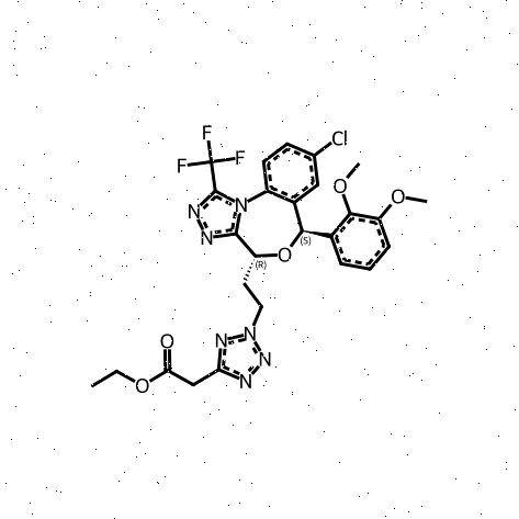 CCOC(=O)Cc1nnn(CC[C@H]2O[C@H](c3cccc(OC)c3OC)c3cc(Cl)ccc3-n3c2nnc3C(F)(F)F)n1